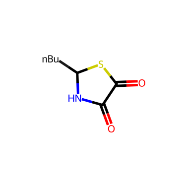 CCCCC1NC(=O)C(=O)S1